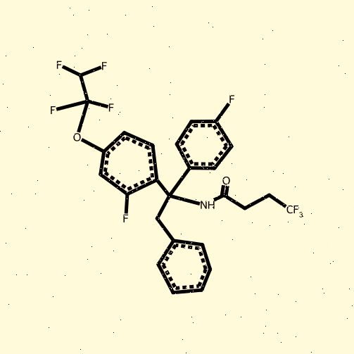 O=C(CCC(F)(F)F)NC(Cc1ccccc1)(c1ccc(F)cc1)c1ccc(OC(F)(F)C(F)F)cc1F